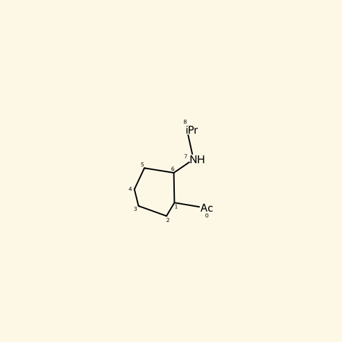 CC(=O)C1CCCCC1NC(C)C